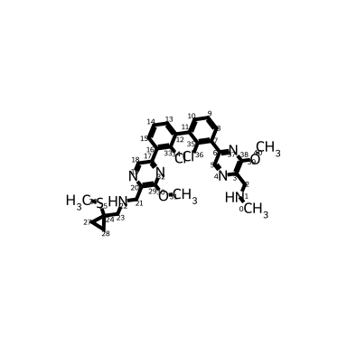 CNCc1ncc(-c2cccc(-c3cccc(-c4cnc(CNCC5(SC)CC5)c(OC)n4)c3Cl)c2Cl)nc1OC